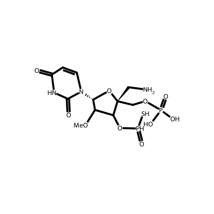 COC1C(O[PH](=O)S)[C@@](CN)(COP(=O)(O)O)O[C@H]1n1ccc(=O)[nH]c1=O